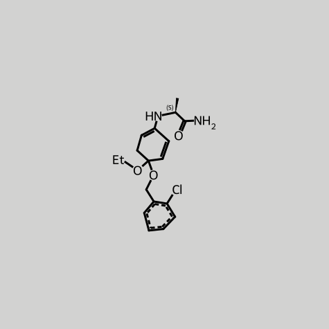 CCOC1(OCc2ccccc2Cl)C=CC(N[C@@H](C)C(N)=O)=CC1